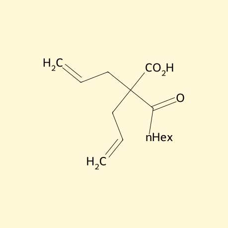 C=CCC(CC=C)(C(=O)O)C(=O)CCCCCC